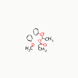 C=CC(=O)OC(C)Oc1ccccc1.COc1ccccc1